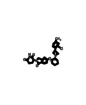 Cc1ccc(C2CN([C@@H]3CCCC[C@H]3Oc3ccc4c(c3)CN([C@@H]3CCC(=O)NC3=O)C4=O)C2)c(Cl)c1